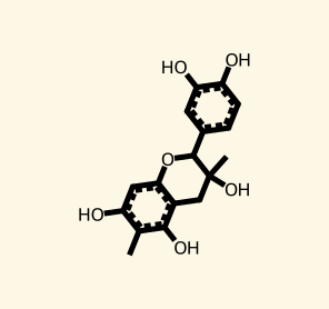 Cc1c(O)cc2c(c1O)CC(C)(O)C(c1ccc(O)c(O)c1)O2